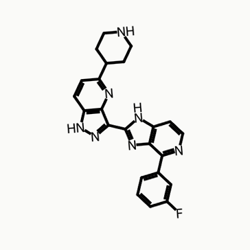 Fc1cccc(-c2nccc3[nH]c(-c4n[nH]c5ccc(C6CCNCC6)nc45)nc23)c1